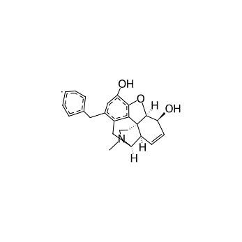 CN1CC[C@]23c4c5c(Cc6cc[c]cc6)cc(O)c4O[C@H]2[C@@H](O)C=C[C@H]3[C@H]1C5